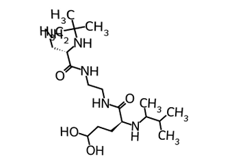 CC(C)C(C)N[C@@H](CCC(O)O)C(=O)NCCNC(=O)[C@H](CN)NC(C)(C)C